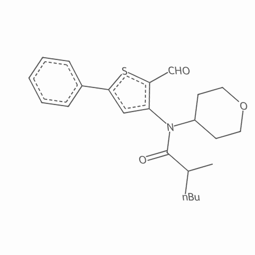 CCCCC(C)C(=O)N(c1cc(-c2ccccc2)sc1C=O)C1CCOCC1